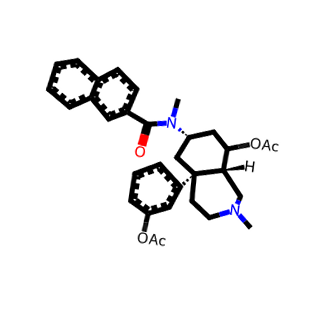 CC(=O)Oc1cccc([C@@]23CCN(C)C[C@H]2C(OC(C)=O)C[C@@H](N(C)C(=O)c2ccc4ccccc4c2)C3)c1